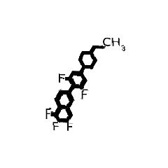 CCCC1CCC(c2cc(F)c(-c3ccc4c(F)c(F)c(F)cc4c3)c(F)c2)CC1